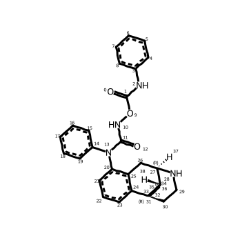 O=C(Nc1ccccc1)ONC(=O)N(c1ccccc1)c1cccc2c1C[C@H]1NCC[C@@]23CCCC[C@@H]13